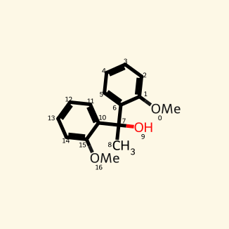 COc1ccccc1C(C)(O)c1ccccc1OC